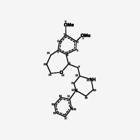 COc1cc2c(cc1OC)C(CC1CN(c3ccccn3)CCN1)OCCC2